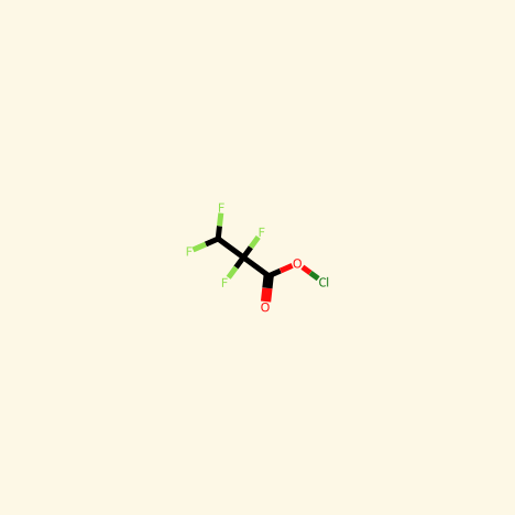 O=C(OCl)C(F)(F)C(F)F